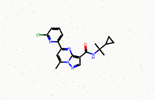 Cc1cc(-c2cccc(Cl)n2)nc2c(C(=O)NC(C)(C)C3CC3)cnn12